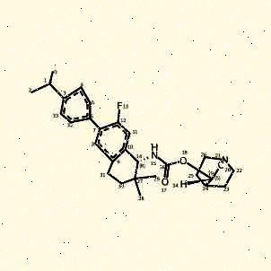 CC(C)c1ccc(-c2cc3c(cc2F)[C@H](NC(=O)O[C@@H]2CN4CCC2CC4)C(C)(C)CC3)cc1